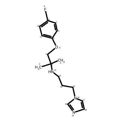 CC(C)(COc1ccc(F)cc1)NCCCn1ccnc1